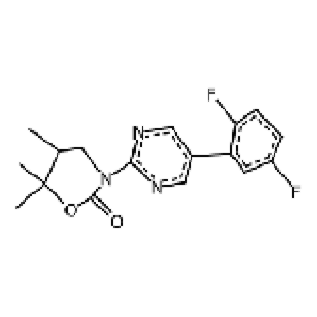 CC1CN(c2ncc(-c3cc(F)ccc3F)cn2)C(=O)OC1(C)C